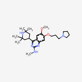 CNc1nc(C2CC(C)(C)NC(C)(C)C2)c2cc(OC)c(OCCCN3CCCC3)cc2n1